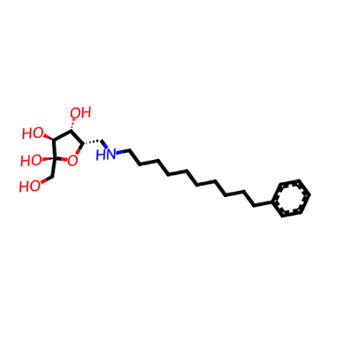 OC[C@@]1(O)O[C@@H](CNCCCCCCCCCCc2ccccc2)[C@@H](O)[C@@H]1O